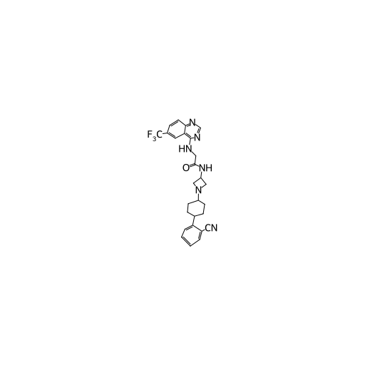 N#Cc1ccccc1C1CCC(N2CC(NC(=O)CNc3ncnc4ccc(C(F)(F)F)cc34)C2)CC1